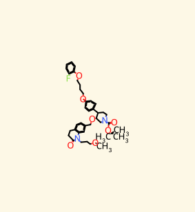 COCCCN1C(=O)CCc2ccc(COC3CN(C(=O)OC(C)(C)C)CCC3c3ccc(OCCCCOc4ccccc4F)cc3)cc21